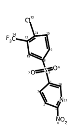 O=[N+]([O-])c1ccc(S(=O)(=O)c2ccc(Cl)c(C(F)(F)F)c2)cn1